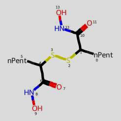 CCCCCC(SSC(CCCCC)C(=O)NO)C(=O)NO